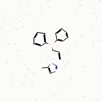 C=CCB(c1ccccc1)c1ccccc1.CCc1cnc[nH]1